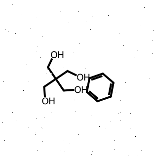 OCC(CO)(CO)CO.c1ccccc1